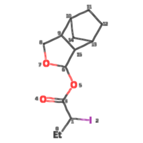 CCC(I)C(=O)OC1OCC2C3CCC(C3)C12